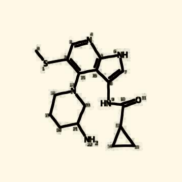 CSc1cnc2[nH]cc(NC(=O)C3CC3)c2c1N1CCCC(N)C1